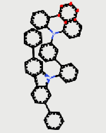 c1ccc(-c2ccc3c4ccc(-c5ccccc5)cc4n(-c4ccccc4-c4cccc(N(c5ccccc5-c5ccccc5)c5cccc6ccccc56)c4)c3c2)cc1